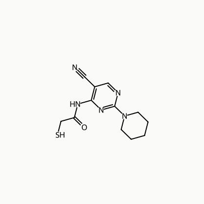 N#Cc1cnc(N2CCCCC2)nc1NC(=O)CS